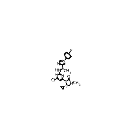 CC(Nc1nc(Cl)cc(N2C(=O)N(C)C[C@@H]2C2CC2)n1)c1cn(-c2ccc(F)cc2)cn1